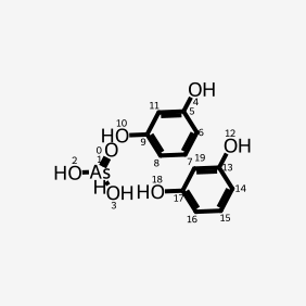 O=[AsH](O)O.Oc1cccc(O)c1.Oc1cccc(O)c1